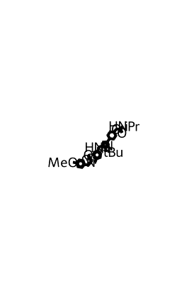 COc1ccc(CN2Cc3ccc(Nc4cc(C5CCC(OC(=O)NC(C)C)CC5)nn4C(C)(C)C)cc3S2(=O)=O)cc1